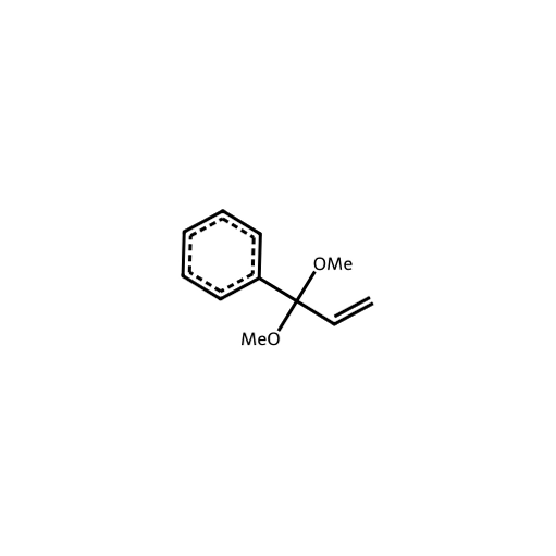 C=CC(OC)(OC)c1ccccc1